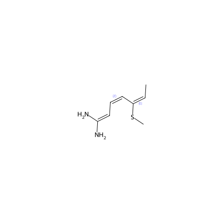 C/C=C(\C=C/C=C(N)N)SC